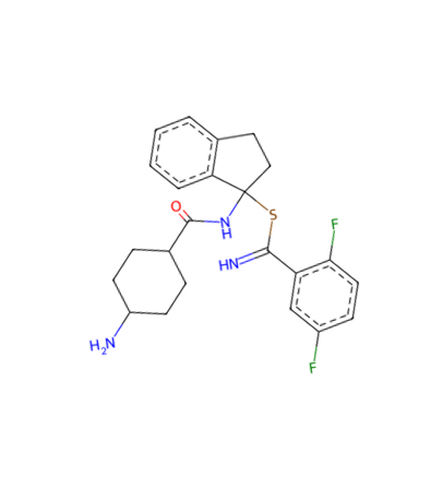 N=C(SC1(NC(=O)C2CCC(N)CC2)CCc2ccccc21)c1cc(F)ccc1F